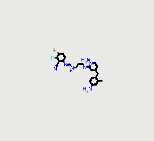 Cc1cc(N)ccc1Cc1ccn(N)/c(=N\C=C/CN(C)/C=N/c2ccc(Br)c(F)c2C#N)c1